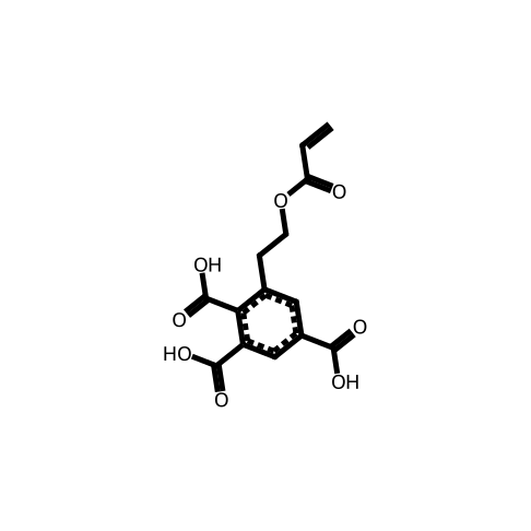 C=CC(=O)OCCc1cc(C(=O)O)cc(C(=O)O)c1C(=O)O